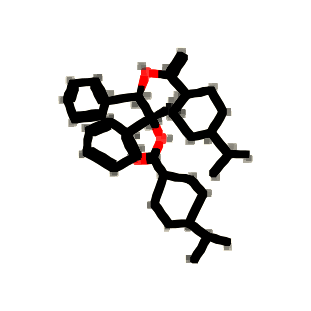 B[C@@](OC(=O)C1CCC(C(C)C)CC1)(c1ccccc1)[C@H](OC(=C)C1CCC(C(C)C)CC1)c1ccccc1